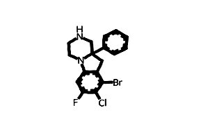 Fc1cc2c(c(Br)c1Cl)CC1(c3ccccc3)CNCCN21